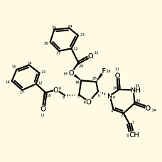 C#Cc1cn([C@@H]2O[C@H](COC(=O)c3ccccc3)[C@@H](OC(=O)c3ccccc3)[C@H]2F)c(=O)[nH]c1=O